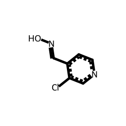 ON=Cc1ccncc1Cl